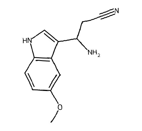 COc1ccc2[nH]cc(C(N)CC#N)c2c1